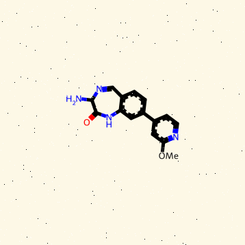 COc1cc(-c2ccc3c(c2)NC(=O)C(N)N=C3)ccn1